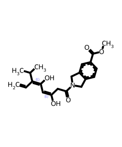 C=C/C(=C(O)\C=C(\O)CC(=O)N1Cc2ccc(C(=O)OC)cc2C1)C(C)C